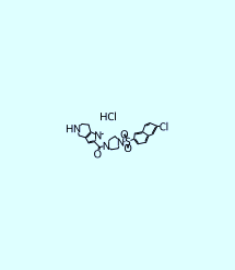 Cl.Cn1c(C(=O)N2CCN(S(=O)(=O)c3ccc4cc(Cl)ccc4c3)CC2)cc2c1CCNC2